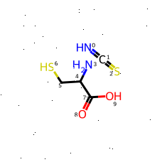 N=C=S.NC(CS)C(=O)O